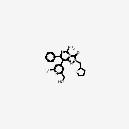 Cc1cc(-c2c(-c3ccccc3)nc(N)n3c(=O)n(CC4CCCO4)nc23)cc(CO)n1